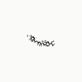 CCN(CC)c1ccc(/C=C/C(=O)CC(=O)/C=C/c2ccc(O)cc2)c(O)c1